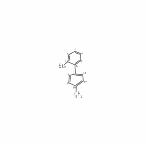 [CH2]Cc1ccccc1-c1ccc(C(F)(F)F)cc1